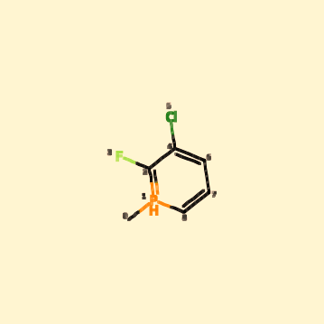 C[PH]1=C(F)C(Cl)=CC=C1